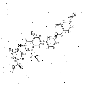 COCCn1c(Cc2ccc(-c3cccc(OCc4ccc(C#N)cc4F)n3)cc2F)nc2c(F)cc(C(=O)OC)cc21